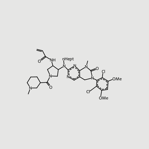 C=CC(=O)NC1CN(C(=O)C2CCCN(C)C2)CC1N(CCCCCCC)c1ncc2c(n1)N(C)C(=O)N(c1c(Cl)c(OC)cc(OC)c1Cl)C2